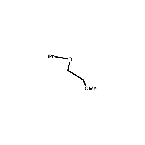 [CH2]C(C)OCCOC